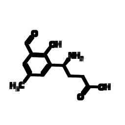 Cc1cc(C=O)c(O)c([C@@H](N)CCC(=O)O)c1